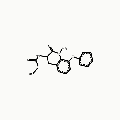 CN1C(=O)C(NC(=O)OC(C)(C)C)Cc2cccc(Oc3ccccc3)c21